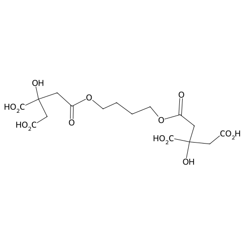 O=C(O)CC(O)(CC(=O)OCCCCOC(=O)CC(O)(CC(=O)O)C(=O)O)C(=O)O